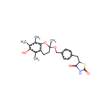 Cc1c(C)c2c(c(C)c1O)CCC(C)(OCc1ccc(CC3SC(=O)NC3=O)cc1)O2